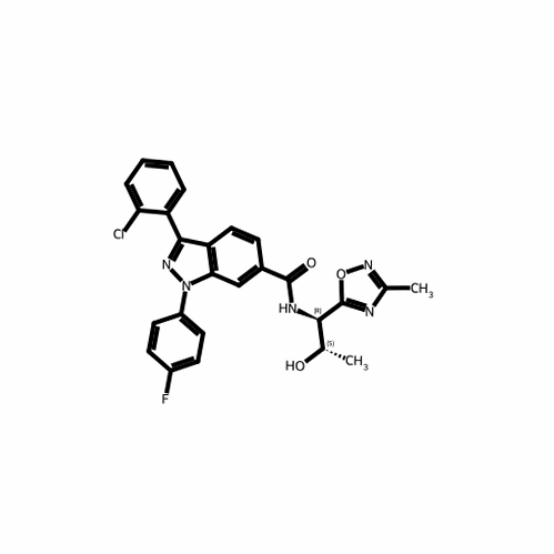 Cc1noc([C@H](NC(=O)c2ccc3c(-c4ccccc4Cl)nn(-c4ccc(F)cc4)c3c2)[C@H](C)O)n1